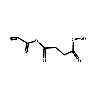 C=CC(=O)OC(=O)CCC(=O)OS